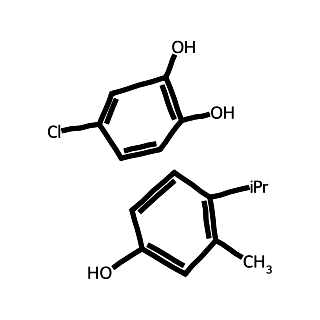 Cc1cc(O)ccc1C(C)C.Oc1ccc(Cl)cc1O